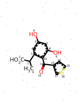 CC(C(=O)O)c1cc(O)cc(O)c1C(=O)c1ccsc1